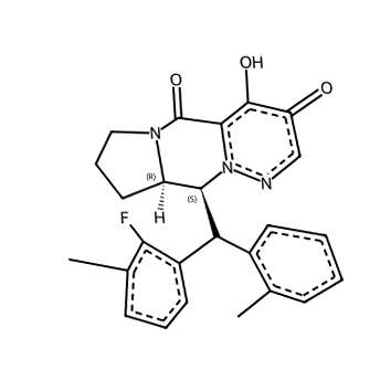 Cc1ccccc1C(c1cccc(C)c1F)[C@H]1[C@H]2CCCN2C(=O)c2c(O)c(=O)cnn21